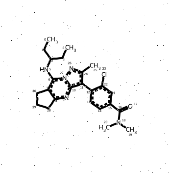 CCC(CC)Nc1c2c(nc3c(-c4ccc(C(=O)N(C)C)cc4Cl)c(C)nn13)CCC2